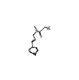 CC(=O)CC(=O)N(C)CC=Cc1ccccc1